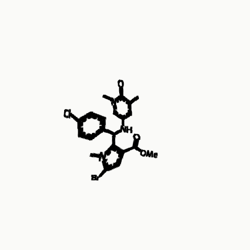 COC(=O)c1cc(Br)n(C)c1C(Nc1cc(C)c(=O)n(C)c1)c1ccc(Cl)cc1